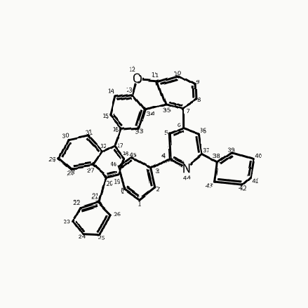 c1ccc(-c2cc(-c3cccc4oc5ccc(-c6ccc(-c7ccccc7)c7ccccc67)cc5c34)cc(-c3ccccc3)n2)cc1